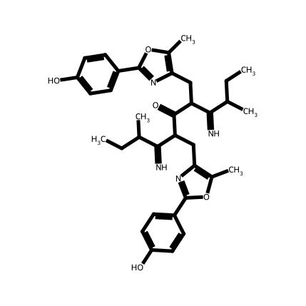 CCC(C)C(=N)C(Cc1nc(-c2ccc(O)cc2)oc1C)C(=O)C(Cc1nc(-c2ccc(O)cc2)oc1C)C(=N)C(C)CC